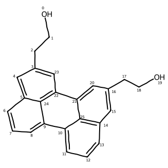 OCCc1cc2cccc3c4cccc5cc(CCO)cc(c(c1)c23)c54